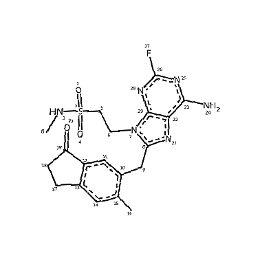 CNS(=O)(=O)CCn1c(Cc2cc3c(cc2C)CCC3=O)nc2c(N)nc(F)nc21